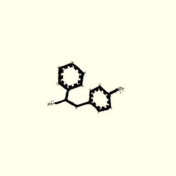 CC(C)c1ccc(CC(c2ccccc2)C(C)C)cc1